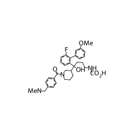 CNCc1ccc(C(=O)N2CCCC(C(O)(CCCNC(=O)O)c3cccc(F)c3-c3cccc(OC)c3)C2)cc1